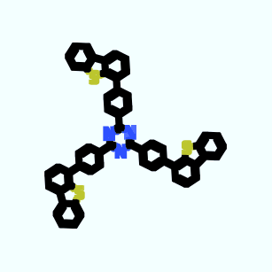 c1ccc2c(c1)sc1c(-c3ccc(-c4nc(-c5ccc(-c6cccc7c6sc6ccccc67)cc5)nc(-c5ccc(-c6cccc7c6sc6ccccc67)cc5)n4)cc3)cccc12